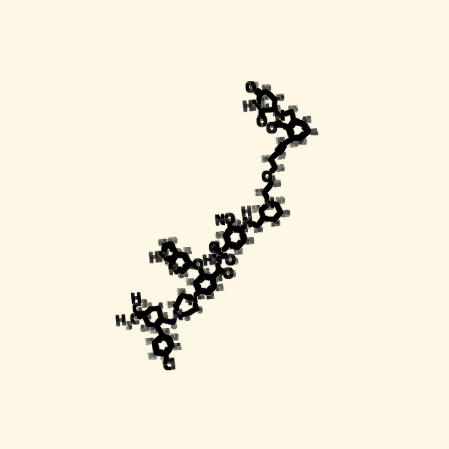 CC1(C)CCC(CN2CCN(c3ccc(C(=O)NS(=O)(=O)c4ccc(NCC5CCCN(CCOCCC#Cc6cccc7c6C(=O)N(C6CCC(=O)NC6=O)C7)C5)c([N+](=O)[O-])c4)c(Oc4cnc5[nH]ccc5c4)c3)CC2)=C(c2ccc(Cl)cc2)C1